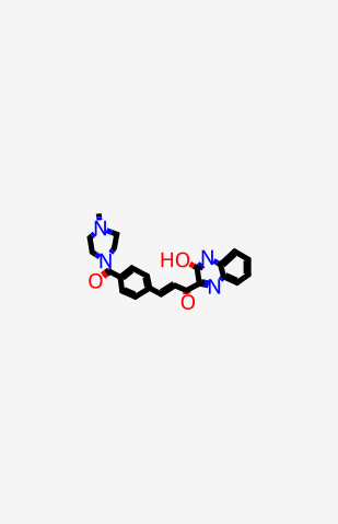 CN1CCN(C(=O)c2ccc(C=CC(=O)c3nc4ccccc4nc3O)cc2)CC1